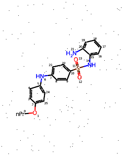 CCCOc1ccc(Nc2ccc(S(=O)(=O)Nc3ccccc3N)cc2)cc1